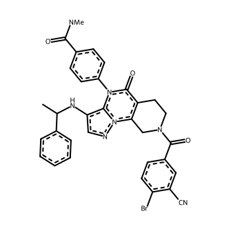 CNC(=O)c1ccc(-n2c(=O)c3c(n4ncc(NC(C)c5ccccc5)c24)CN(C(=O)c2ccc(Br)c(C#N)c2)CC3)cc1